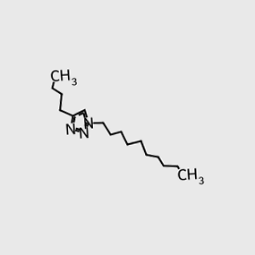 CCCCCCCCCCn1cc(CCCC)nn1